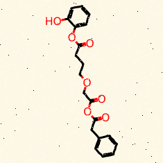 O=C(COCCCC(=O)Oc1ccccc1O)OC(=O)Cc1ccccc1